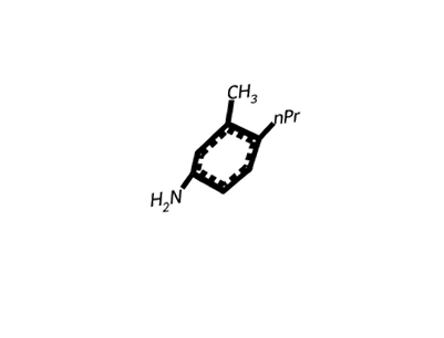 CCCc1ccc(N)cc1C